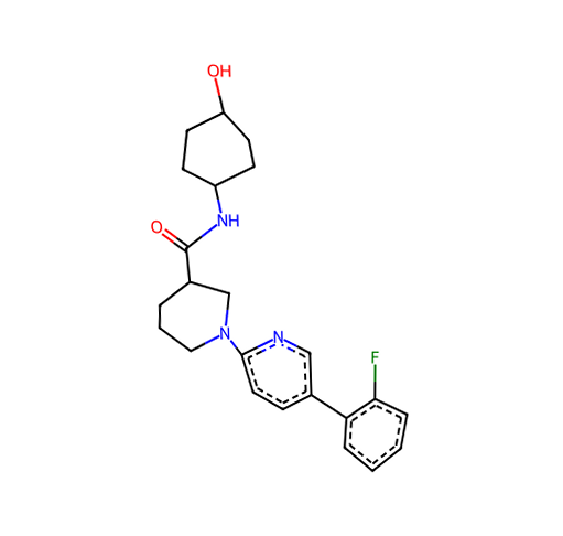 O=C(NC1CCC(O)CC1)C1CCCN(c2ccc(-c3ccccc3F)cn2)C1